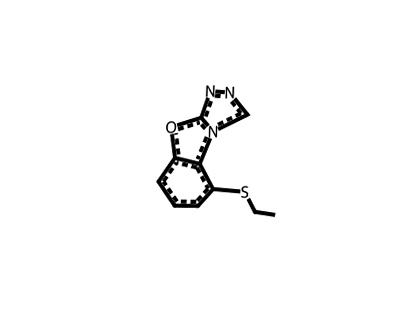 CCSc1cccc2oc3nncn3c12